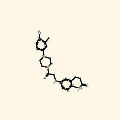 Cc1cc(N2CCN(C(=O)COc3ccc4c(c3)CCC(=O)N4)CC2)ccc1Cl